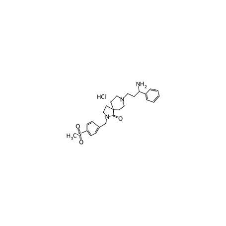 CS(=O)(=O)c1ccc(CN2CCC3(CCN(CCC(N)c4ccccc4)CC3)C2=O)cc1.Cl